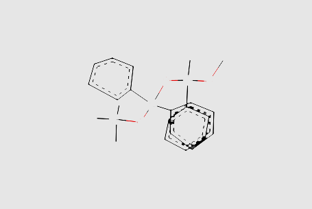 CO[Si](C)(O[Si](O[Si](C)(C)C)(c1ccccc1)c1ccccc1)c1ccccc1